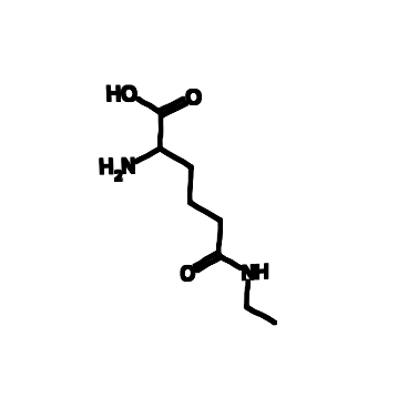 CCNC(=O)CCCC(N)C(=O)O